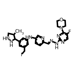 CC1CNNC1c1cc(CI)cc(Nc2ccc(/C=N/Nc3ncc(F)c(N4CCOCC4)n3)nc2)c1